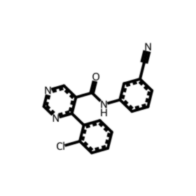 N#Cc1cccc(NC(=O)c2cncnc2-c2ccccc2Cl)c1